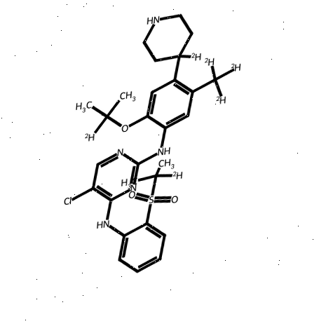 [2H]C(C)(C)Oc1cc(C2([2H])CCNCC2)c(C([2H])([2H])[2H])cc1Nc1ncc(Cl)c(Nc2ccccc2S(=O)(=O)C([2H])(C)C)n1